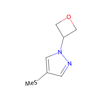 CSc1cnn(C2COC2)c1